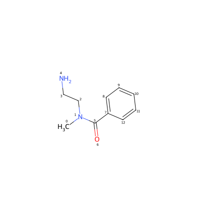 CN(CCN)C(=O)c1ccccc1